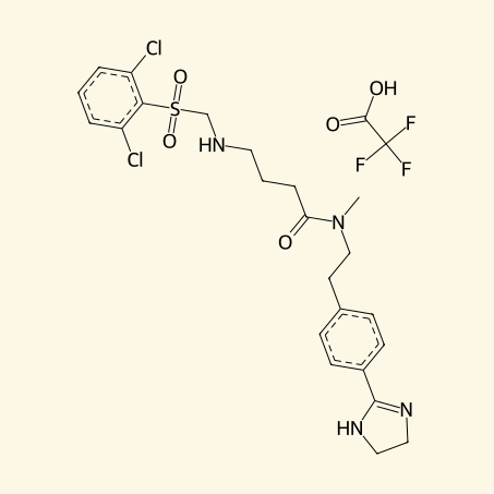 CN(CCc1ccc(C2=NCCN2)cc1)C(=O)CCCNCS(=O)(=O)c1c(Cl)cccc1Cl.O=C(O)C(F)(F)F